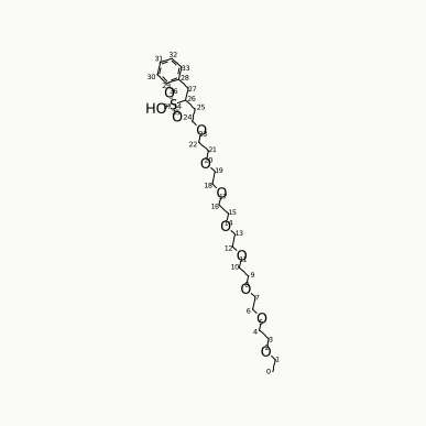 CCOCCOCCOCCOCCOCCOCCOCCOCCC(Cc1ccccc1)S(=O)(=O)O